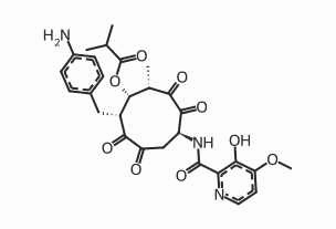 COc1ccnc(C(=O)N[C@H]2CC(=O)C(=O)[C@H](Cc3ccc(N)cc3)[C@H](OC(=O)C(C)C)[C@H](C)C(=O)C2=O)c1O